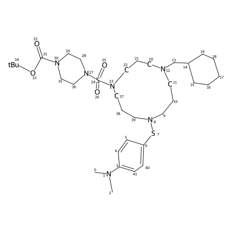 CN(C)c1ccc(SN2CCCN(CC3CCCCC3)CCCN(S(=O)(=O)N3CCN(C(=O)OC(C)(C)C)CC3)CCC2)cc1